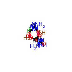 Nc1nc2c(ncn2[C@@H]2O[C@@H]3COP(=O)(S)OCC(F)(F)Cn4c(nc5c(N)ncnc54)COP(=O)(S)O[C@@H]2[C@@H]3F)c(=O)[nH]1